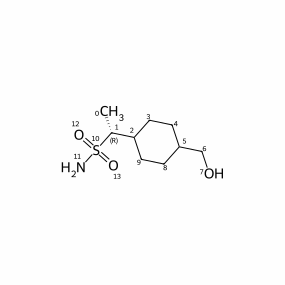 C[C@H](C1CCC(CO)CC1)S(N)(=O)=O